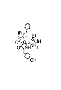 CCSCC(N)C(=O)N[C@@H](Cc1ccc(O)cc1)C(=O)NC(=O)[C@H](CC(C)C)NCCc1ccccc1.Cl